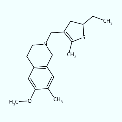 CCC1CC(CN2CCc3cc(OC)c(C)cc3C2)=C(C)S1